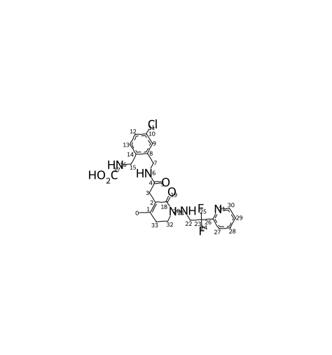 CC1=C(CC(=O)NCc2cc(Cl)ccc2CNC(=O)O)C(=O)N(NCC(F)(F)c2ccccn2)CC1